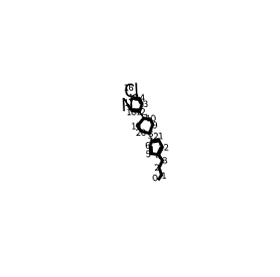 CCCCc1ccc([C@H]2CC[C@H](c3ccc(Cl)nc3)CC2)cc1